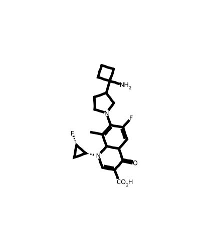 CC1=C(N2CCC(C3(N)CCC3)C2)C(F)=CC2C(=O)C(C(=O)O)=CN([C@@H]3C[C@@H]3F)C12